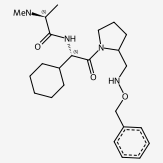 CN[C@@H](C)C(=O)N[C@H](C(=O)N1CCCC1CNOCc1ccccc1)C1CCCCC1